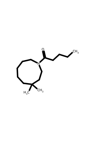 CCCCC(=O)N1CCCCCC(C)(C)CC1